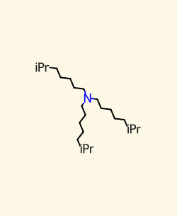 CC(C)CCCCCN(CCCCCC(C)C)CCCCCC(C)C